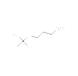 CNCCCOC(C)(C(C)(C)C)C(C)(C)C